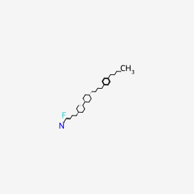 CCCCCc1ccc(CCCC[C@H]2CC[C@H]([C@H]3CC[C@H](CCC=C(F)C#N)CC3)CC2)cc1